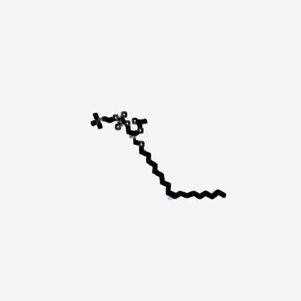 CCCCCCCC/C=C\CCCCCCCCOC[C@H](COP(=O)([O-])OCC[N+](C)(C)C)OC(C)=O